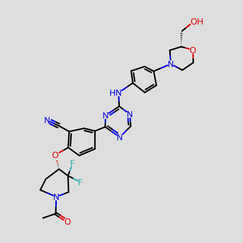 CC(=O)N1CC[C@H](Oc2ccc(-c3ncnc(Nc4ccc(N5CCO[C@@H](CO)C5)cc4)n3)cc2C#N)C(F)(F)C1